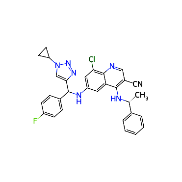 C[C@@H](Nc1c(C#N)cnc2c(Cl)cc(NC(c3ccc(F)cc3)c3cn(C4CC4)nn3)cc12)c1ccccc1